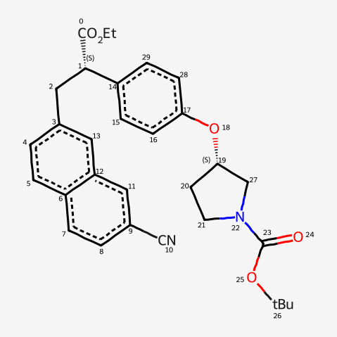 CCOC(=O)[C@@H](Cc1ccc2ccc(C#N)cc2c1)c1ccc(O[C@H]2CCN(C(=O)OC(C)(C)C)C2)cc1